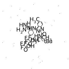 Cc1ccc2nc(C(=O)NC(C)(C)CC(C)(C)C)nc(NC3CCCCC3NC(=N)N)c2c1.O=C(O)C(F)(F)F.O=C(O)C(F)(F)F